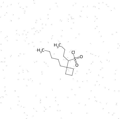 CCCCCC1(C(CCC)S(=O)(=O)Cl)CCC1